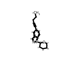 CCCC#Cc1ccc2c(cnn2C2CCCCO2)c1